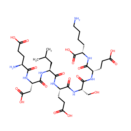 CC(C)C[C@H](NC(=O)[C@H](CC(=O)O)NC(=O)[C@@H](N)CCC(=O)O)C(=O)N[C@@H](CCC(=O)O)C(=O)N[C@@H](CO)C(=O)N[C@@H](CCC(=O)O)C(=O)N[C@@H](CCCCN)C(=O)O